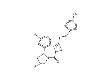 N#Cc1cnc(OCC23CC(C(=O)N4CC(F)CC4c4cccc(F)c4)(C2)C3)nc1